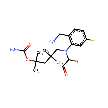 CC(C)(CN(c1cc(F)ccc1CN)C(Br)C=O)CC(C)(C)OC(N)=O